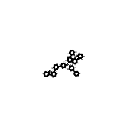 c1ccc(-c2ccc(N(c3ccc(-c4cccc(-c5cccc6c5oc5ccccc56)c4)cc3)c3ccc(-c4ccccc4-n4c5ccccc5c5ccccc54)cc3)cc2)cc1